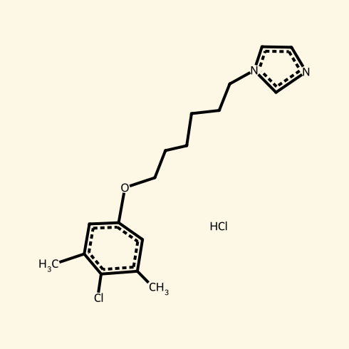 Cc1cc(OCCCCCCn2ccnc2)cc(C)c1Cl.Cl